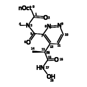 CCCCCCCCC(=O)N(C)C(=O)c1nnccc1[C@H](C)C(=O)NO